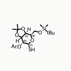 CC(=O)O[C@@H]1[C@H]2OC(C)(C)O[C@H]2[C@@H](CO[Si](C)(C)C(C)(C)C)O[C@H]1S